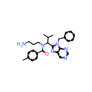 Cc1ccc(C(=O)N(CCCN)C(c2nc3cncnc3n2Cc2ccccc2)C(C)C)cc1